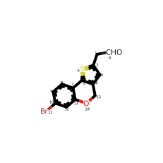 O=CCc1cc2c(s1)-c1ccc(Br)cc1OC2